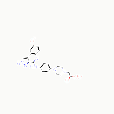 COc1ccc2nc(Nc3ccc(N4CCN(CC(=O)O)CC4)cc3)c3n[nH]cc3c2c1